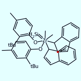 Cc1ccc([O][Zr]([CH3])([CH3])(=[SiH2])([O]c2ccc(C)cc2C(C)(C)C)([CH]2C=Cc3ccccc32)[CH]2C=Cc3ccccc32)c(C(C)(C)C)c1